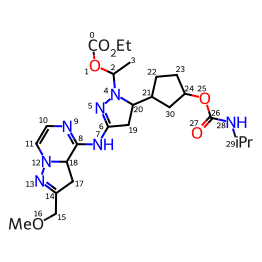 CCOC(=O)OC(C)N1N=C(NC2=NC=CN3N=C(COC)CC23)CC1C1CCC(OC(=O)NC(C)C)C1